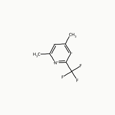 CC1=[C]C(C(F)(F)F)=[N+]C(C)=[C]1